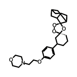 c1cc(C2CCC[C@]3(C2)OO[C@]2(O3)C3CC4CC(C3)C2C4)ccc1OCCN1CCOCC1